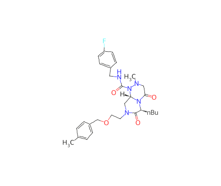 CCCC[C@H]1C(=O)N(CCOCc2ccc(C)cc2)C[C@H]2N1C(=O)CN(C)N2C(=O)NCc1ccc(F)cc1